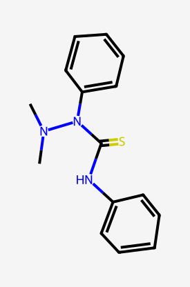 CN(C)N(C(=S)Nc1ccccc1)c1ccccc1